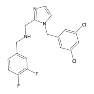 Fc1ccc(CNCc2nccn2Cc2cc(Cl)cc(Cl)c2)cc1F